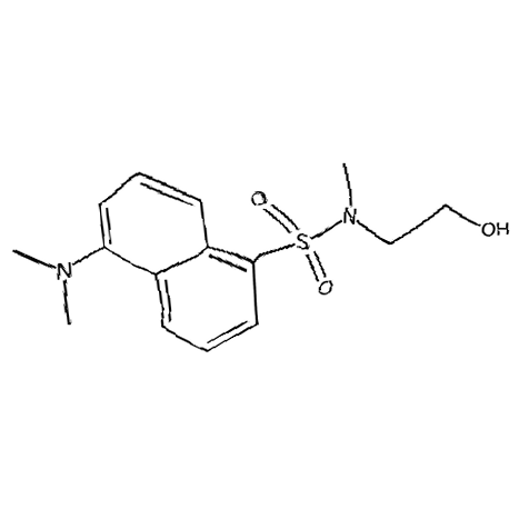 CN(C)c1cccc2c(S(=O)(=O)N(C)CCO)cccc12